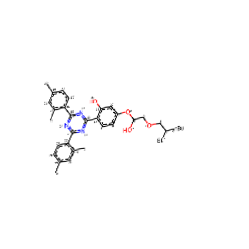 CCCCC(CC)COCC(O)Oc1ccc(-c2nc(-c3ccc(C)cc3C)nc(-c3ccc(C)cc3C)n2)c(O)c1